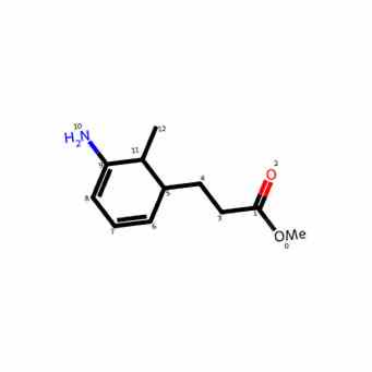 COC(=O)CCC1C=CC=C(N)C1C